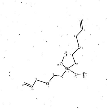 C=CCOCC[Si](CCOCC=C)(OCC)OCC